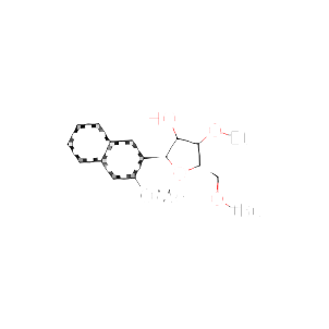 CCOC1C(O)[C@H](c2cc3ccccc3cc2OC)O[C@@H]1COC(C)(C)C